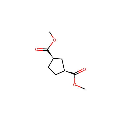 COC(=O)[C@@H]1CC[C@H](C(=O)OC)C1